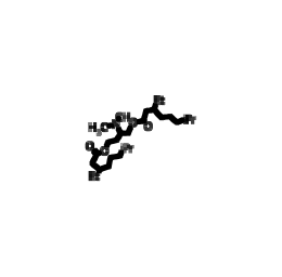 CCC(CCCC(C)C)CC(=O)OCCC(COC(=O)CC(CC)CCCC(C)C)N(C)C